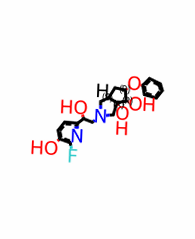 Oc1ccc(C(O)CN2C[C@@H]3C[C@@H](Oc4ccccc4)[C@@H](O)[C@]3(O)C2)nc1F